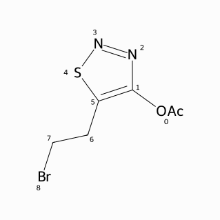 CC(=O)Oc1nnsc1CCBr